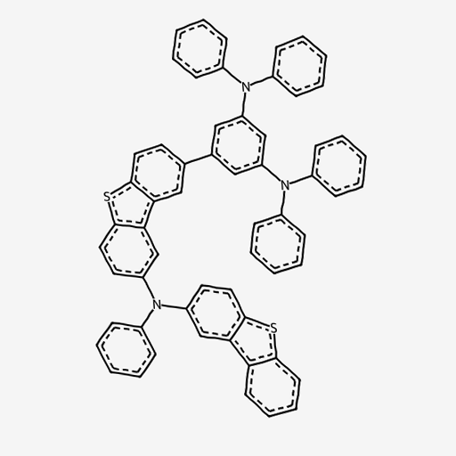 c1ccc(N(c2ccccc2)c2cc(-c3ccc4sc5ccc(N(c6ccccc6)c6ccc7sc8ccccc8c7c6)cc5c4c3)cc(N(c3ccccc3)c3ccccc3)c2)cc1